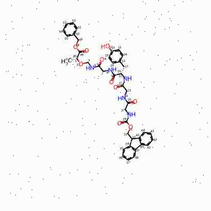 C[C@@H](OCNC(=O)CNC(=O)[C@H](Cc1ccc(O)cc1)NC(=O)CNC(=O)CNC(=O)OCC1c2ccccc2-c2ccccc21)C(=O)OCc1ccccc1